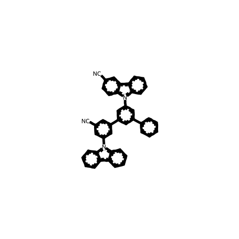 N#Cc1cc(-c2cc(-c3ccccc3)cc(-n3c4ccccc4c4cc(C#N)ccc43)c2)cc(-n2c3ccccc3c3ccccc32)c1